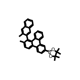 Cc1cc2ccccc2cc1-c1c(C)ccc2c3ccc(B4OC(C)(C)C(C)(C)O4)cc3c3ccccc3c12